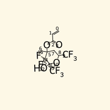 C=CC(=O)OC1(C)CC(C(F)(F)F)OC(O)(C(F)(F)F)C1(F)F